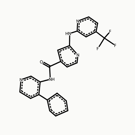 O=C(Nc1cnccc1-c1ccccc1)c1ccnc(Nc2cc(C(F)(F)F)ccn2)c1